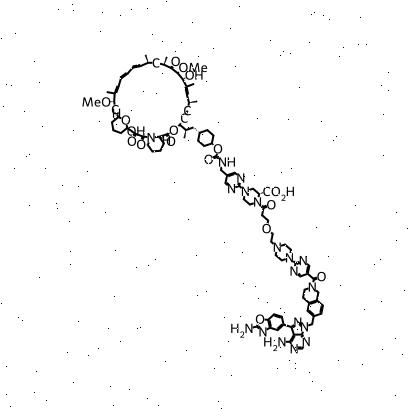 CO[C@H]1C[C@@H]2CCC[C@@](O)(O2)C(=O)C(=O)N2CCCC[C@H]2C(=O)O[C@H]([C@H](C)C[C@H]2CC[C@H](OC(=O)NCc3cnc(N4CCN(C(=O)CCOCCN5CCN(c6ncc(C(=O)N7CCc8cc(Cn9nc(-c%10ccc%11oc(N)nc%11c%10)c%10c(N)ncnc%109)ccc8C7)cn6)CC5)[C@@H](C(=O)O)C4)nc3)CC2)CC[C@H](C)/C=C(\C)[C@@H](O)[C@@H](OC)C(=O)[C@H](C)C[C@H](C)/C=C/C=C/C=C/1C